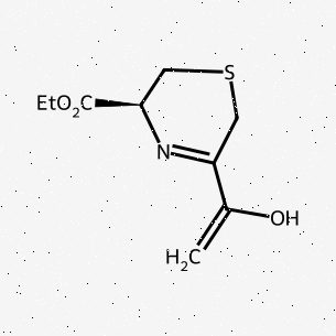 C=C(O)C1=N[C@@H](C(=O)OCC)CSC1